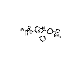 CC(C)NC(=O)Oc1ccc2nc(-c3ccc(C4(N)CCC4)cc3)c(-c3ccccc3)n2c1